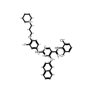 O=C(Nc1c(Cl)cccc1Cl)c1cnc(Nc2ccc(OCCCN3CCCCC3)c(F)c2)nc1Oc1ccc2ccccc2c1